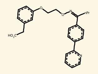 CCCC(=NOCCOc1cccc(CC(=O)O)c1)c1ccc(-c2ccccn2)cc1